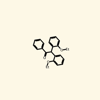 CCOc1ccccc1C(C(=O)c1ccccc1)c1ccccc1OCC